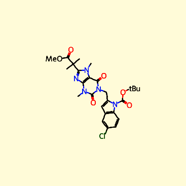 COC(=O)C(C)(C)c1nc2c(c(=O)n(Cc3cc4cc(Cl)ccc4n3C(=O)OC(C)(C)C)c(=O)n2C)n1C